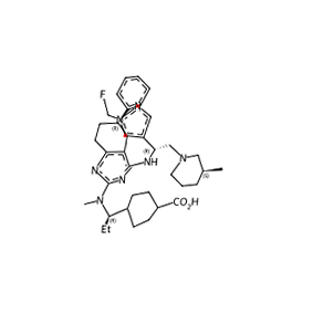 CC[C@H](C1CCC(C(=O)O)CC1)N(C)c1nc2c(c(N[C@@H](CN3CCC[C@H](C)C3)c3cnn(CF)c3)n1)C[C@H](c1ccccc1)CC2